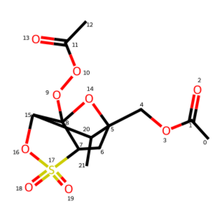 CC(=O)OCC12CC3C(OOC(C)=O)(O1)C(OS3(=O)=O)C2C